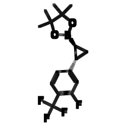 CC1(C)OB([C@H]2C[C@@H]2c2ccc(C(F)(F)F)c(F)c2)OC1(C)C